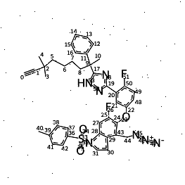 C#CC(C)(C)CCCCC(C)(c1ccccc1)c1nc(-c2cc(Oc3c(F)cc4c(ccn4S(=O)(=O)c4ccc(C)cc4)c3CN=[N+]=[N-])ccc2F)n[nH]1